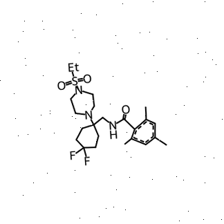 CCS(=O)(=O)N1CCN(C2(CNC(=O)c3c(C)cc(C)cc3C)CCC(F)(F)CC2)CC1